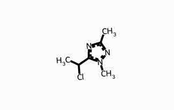 Cc1nc(C(C)Cl)n(C)n1